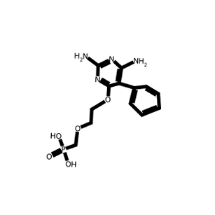 Nc1nc(N)c(-c2ccccc2)c(OCCOCP(=O)(O)O)n1